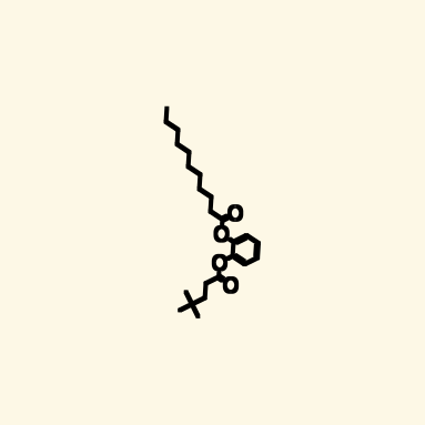 CCCCCCCCCCC(=O)Oc1ccccc1OC(=O)CCC(C)(C)C